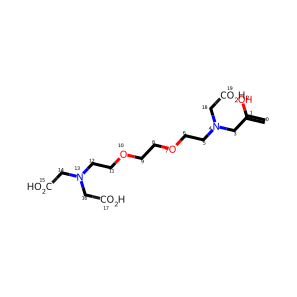 C=C(O)CN(CCOCCOCCN(CC(=O)O)CC(=O)O)CC(=O)O